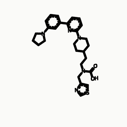 O=C(O)N(CCC1CCN(c2cccc(-c3cccc(N4CCCC4)c3)n2)CC1)Cc1cscn1